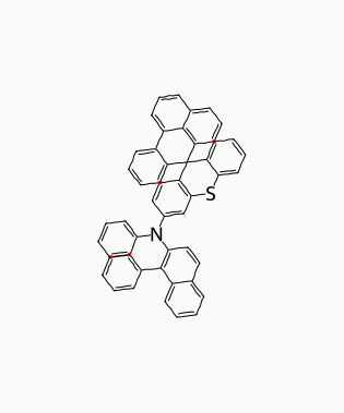 c1ccc(-c2c(N(c3ccccc3)c3ccc4c(c3)Sc3ccccc3C43c4ccccc4-c4cccc5cccc3c45)ccc3ccccc23)cc1